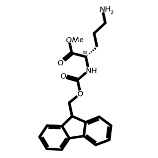 COC(=O)[C@H](CCCN)NC(=O)OCC1c2ccccc2-c2ccccc21